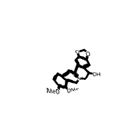 COc1ccc2cc3[n+](cc2c1OC)CC(O)c1cc2c(cc1-3)OCO2